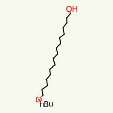 CCCCOCCCCCCCCCCCCCCCCCO